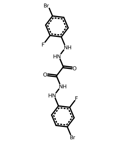 O=C(NNc1ccc(Br)cc1F)C(=O)NNc1ccc(Br)cc1F